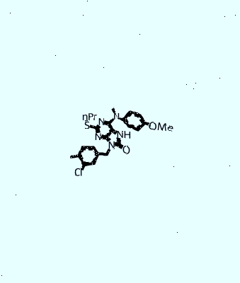 CCCSc1nc(N(C)c2ccc(OC)cc2)c2[nH]c(=O)n(Cc3ccc(C)c(Cl)c3)c2n1